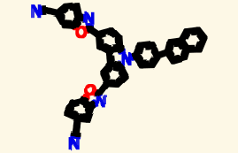 N#Cc1ccc2oc(-c3ccc4c(c3)c3cc(-c5nc6ccc(C#N)cc6o5)ccc3n4-c3ccc(-c4ccc5ccccc5c4)cc3)nc2c1